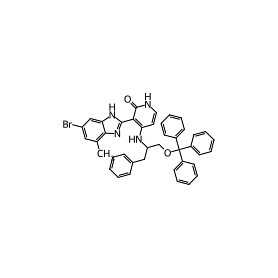 Cc1cc(Br)cc2[nH]c(-c3c(NC(COC(c4ccccc4)(c4ccccc4)c4ccccc4)Cc4ccccc4)cc[nH]c3=O)nc12